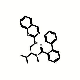 CC(C)[C@@H](CNc1ncc2ccccc2n1)N(C)C(=O)c1ccccc1-c1ccccc1